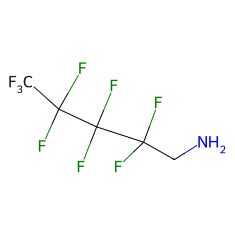 NCC(F)(F)C(F)(F)C(F)(F)C(F)(F)F